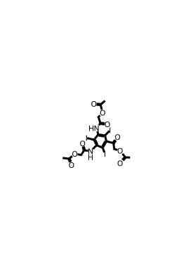 CC(=O)OCC(=O)Nc1c(I)c(NC(=O)COC(C)=O)c(I)c(C(=O)COC(C)=O)c1I